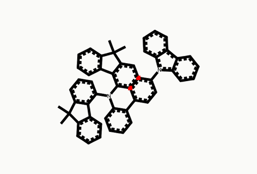 CC1(C)c2ccccc2-c2c(N(c3ccccc3-c3ccc(-n4c5ccccc5c5ccccc54)cc3)c3cccc4c3-c3ccccc3C4(C)C)cccc21